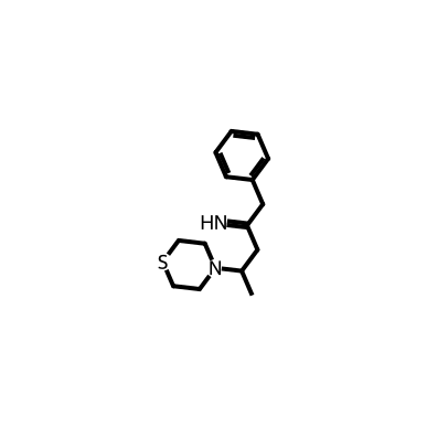 CC(CC(=N)Cc1ccccc1)N1CCSCC1